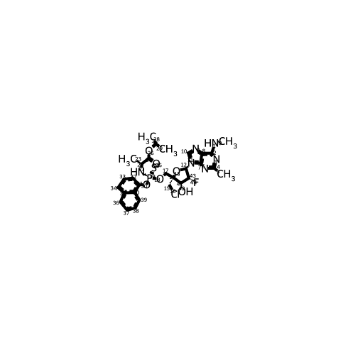 CNc1nc(C)nc2c1ncn2[C@@H]1O[C@](CCl)(CO[P@](=S)(N[C@@H](C)C(=O)OC(C)C)Oc2cccc3ccccc23)[C@@H](O)[C@H]1F